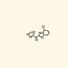 Clc1cccc2oc(Nc3nnco3)nc12